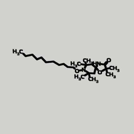 CCCCCCCCCCCON1C(C)(C)CC2(CC1(C)C)NC(=O)C(C)(C)O2